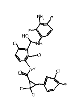 Nc1c(F)ccc(NC(O)c2c(Cl)ccc(NC(=O)C3C(c4ccc(F)c(Cl)c4)C3(Cl)Cl)c2Cl)c1F